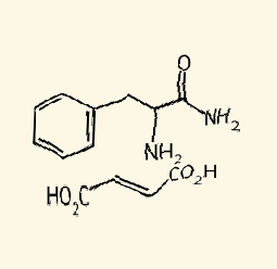 NC(=O)C(N)Cc1ccccc1.O=C(O)/C=C/C(=O)O